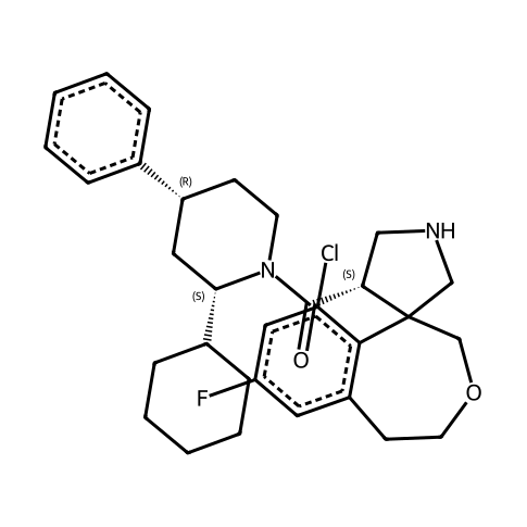 O=C([C@@H]1CNCC12COCCc1cc(F)cc(Cl)c12)N1CC[C@@H](c2ccccc2)C[C@H]1C1CCCCC1